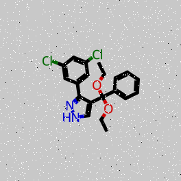 CCOC(OCC)(c1ccccc1)c1c[nH]nc1-c1cc(Cl)cc(Cl)c1